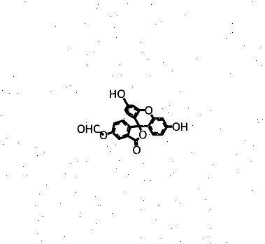 O=COc1ccc2c(c1)C(=O)OC21c2ccc(O)cc2Oc2cc(O)ccc21